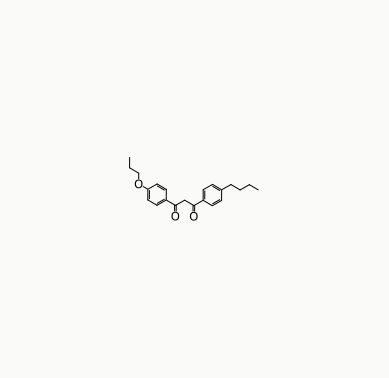 CCCCc1ccc(C(=O)CC(=O)c2ccc(OCCC)cc2)cc1